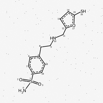 NS(=O)(=O)c1ccc(CCNCc2ccc(S)o2)cc1